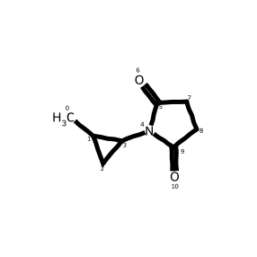 CC1CC1N1C(=O)CCC1=O